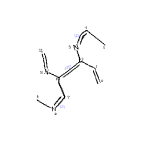 C=CC(/N=C\C)=C(\C=N/C)N=C